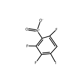 O=[N+]([O-])c1c(F)cc(I)c(F)c1F